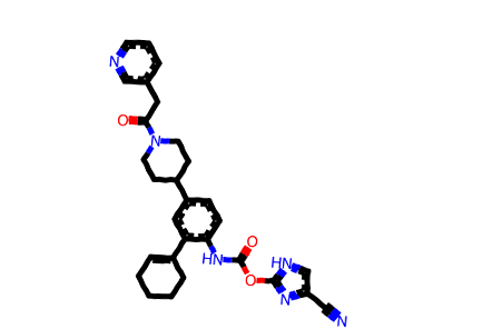 N#Cc1c[nH]c(OC(=O)Nc2ccc(C3CCN(C(=O)Cc4cccnc4)CC3)cc2C2=CCCCC2)n1